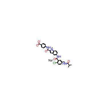 CC(C)C(=O)NCc1ccc(Cl)c(C(=O)Nc2ccc3c(c2)cc(C(=O)Nc2ccc(C(=O)[O-])cc2)n3C)c1.[Na+]